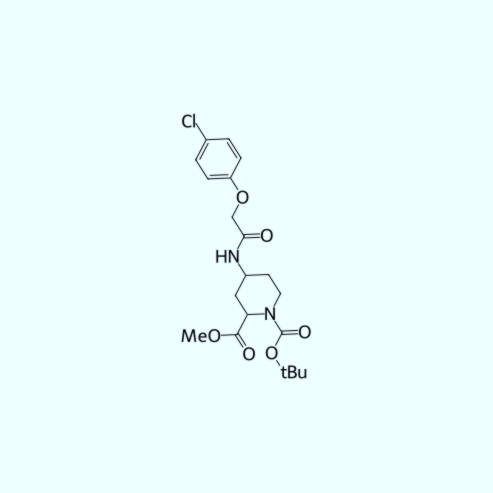 COC(=O)C1CC(NC(=O)COc2ccc(Cl)cc2)CCN1C(=O)OC(C)(C)C